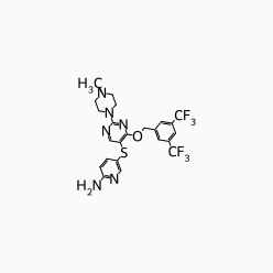 CN1CCN(c2ncc(Sc3ccc(N)nc3)c(OCc3cc(C(F)(F)F)cc(C(F)(F)F)c3)n2)CC1